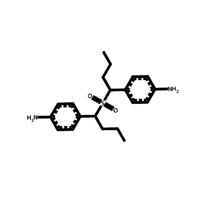 CCCC(c1ccc(N)cc1)S(=O)(=O)C(CCC)c1ccc(N)cc1